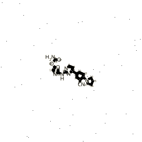 N#Cc1cc(-c2ccnc(Nc3ncc(OC(N)=O)o3)n2)ccc1N1CCCC1